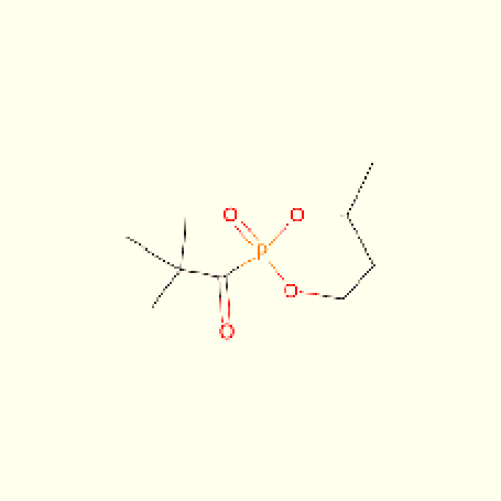 CC1CCOP(=O)(C(=O)C(C)(C)C)O1